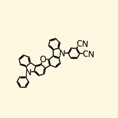 N#Cc1ccc(-n2c3ccccc3c3c4oc5c(ccc6c5c5ccccc5n6-c5ccccc5)c4ccc32)cc1C#N